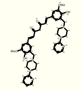 COc1cc(C=CC(=O)CC(=O)C=Cc2cc(CN3CCN(c4ccccn4)CC3)c(O)c(OC)c2)cc(CN2CCN(c3ccccn3)CC2)c1O